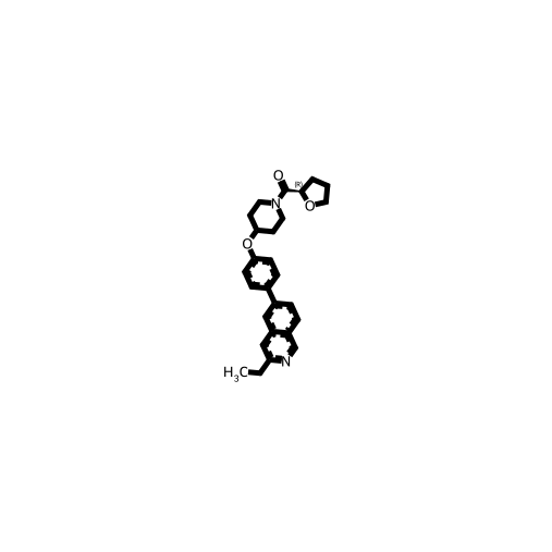 CCc1cc2cc(-c3ccc(OC4CCN(C(=O)[C@H]5CCCO5)CC4)cc3)ccc2cn1